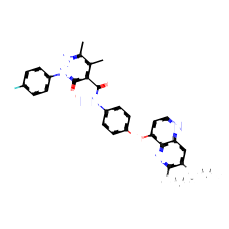 COc1cc2nccc(Oc3ccc(NC(=O)c4c(C)c(C)nn(-c5ccc(F)cc5)c4=O)cc3)c2nc1OC